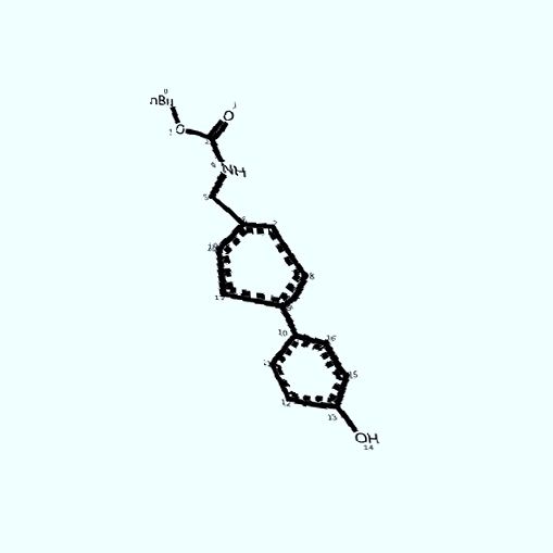 CCCCOC(=O)NCc1ccc(-c2ccc(O)cc2)cc1